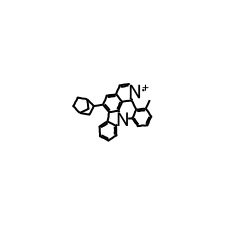 Cc1cccc2c1c1c3c(cc[n+]1C)cc(C1CC4CCC1C4)c1c4ccccc4n2c13